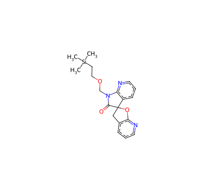 C[Si](C)(C)CCOCN1C(=O)C2(Cc3cccnc3O2)c2cccnc21